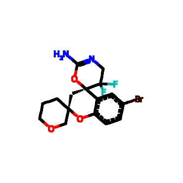 NC1=NCC(F)(F)[C@]2(C[C@]3(CCCOC3)Oc3ccc(Br)cc32)O1